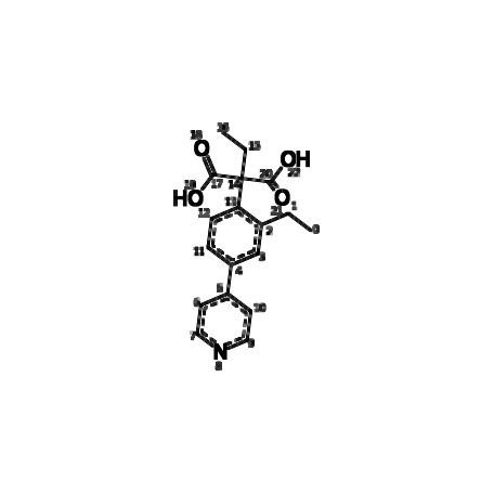 CCc1cc(-c2ccncc2)ccc1C(CC)(C(=O)O)C(=O)O